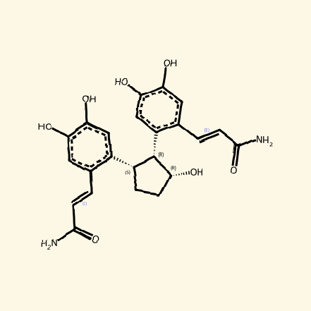 NC(=O)/C=C/c1cc(O)c(O)cc1[C@@H]1[C@H](O)CC[C@@H]1c1cc(O)c(O)cc1/C=C/C(N)=O